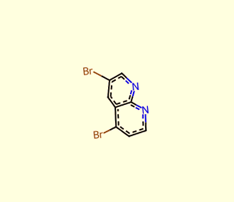 Brc1cnc2nccc(Br)c2c1